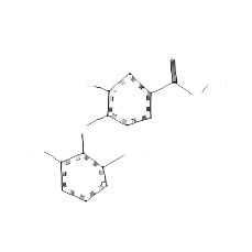 COC(=O)c1ccc(Oc2c(C)cccc2C)c(Br)c1